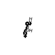 CC(C)(C)N1CCN(C[C@H](O)COc2cccc3[nH]ccc23)CC1